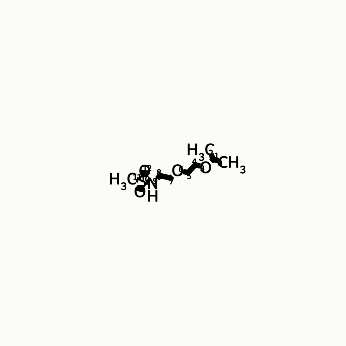 CC(C)OCCOCCNS(C)(=O)=O